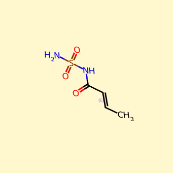 C/C=C/C(=O)NS(N)(=O)=O